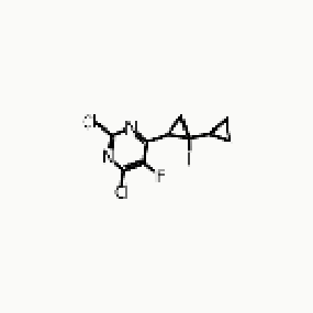 Fc1c(Cl)nc(Cl)nc1C1CC1(I)C1CC1